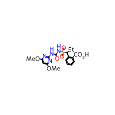 CCC(c1ccccc1C(=O)O)S(=O)(=O)NC(=O)Nc1nc(OC)cc(OC)n1